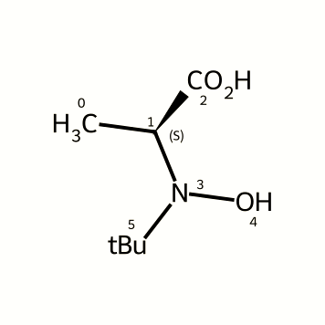 C[C@@H](C(=O)O)N(O)C(C)(C)C